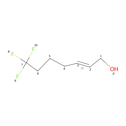 OC/C=C/CCCC(F)(F)F